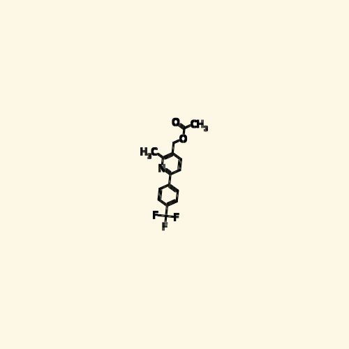 CC(=O)OCc1ccc(-c2ccc(C(F)(F)F)cc2)nc1C